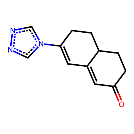 O=C1C=C2C=C(n3cnnc3)CCC2CC1